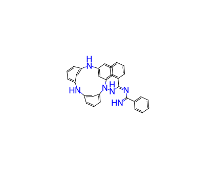 N=C(/N=C(\NN1c2cccc(c2)Nc2cccc(c2)Nc2cccc1c2)c1ccccc1)c1ccccc1